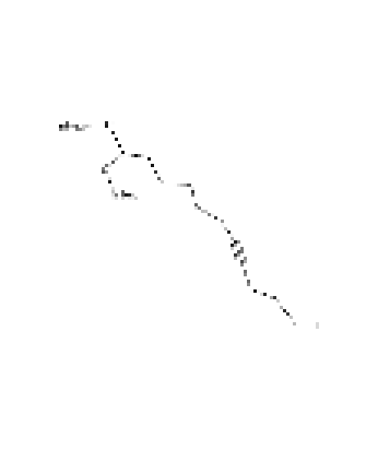 CCCCCCOC(CCCCCC#CCCCI)OCCCCCC